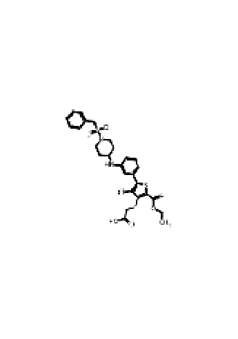 CCOC(=O)c1sc(-c2cccc(NC3CCN(S(=O)(=O)Cc4ccccc4)CC3)c2)c(Cl)c1OCC(=O)O